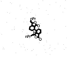 CCC/C=C1\OC(=O)C2=C1CCCC2C1CCC=C2C(=O)O/C(=C\CCC)[C@@H]21